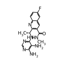 CNC(=O)c1cc2cc(F)ccc2nc1[C@H](C)Nc1ncnc(N)c1N